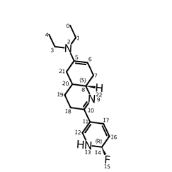 CCN(CC)C1=CC[C@@H]2N=C(C3=CN[C@H](F)C=C3)CCC2C1